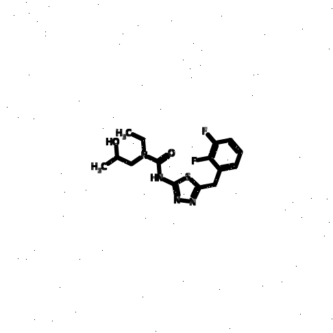 CCN(CC(C)O)C(=O)Nc1nnc(Cc2cccc(F)c2F)s1